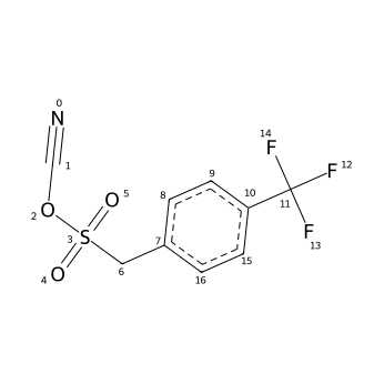 N#COS(=O)(=O)Cc1ccc(C(F)(F)F)cc1